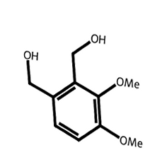 COc1ccc(CO)c(CO)c1OC